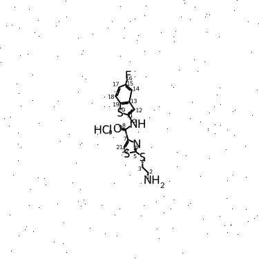 Cl.NCCSc1nc(C(=O)Nc2cc3cc(F)ccc3s2)cs1